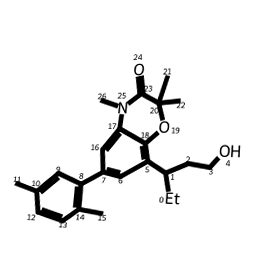 CCC(CCO)c1cc(-c2cc(C)ccc2C)cc2c1OC(C)(C)C(=O)N2C